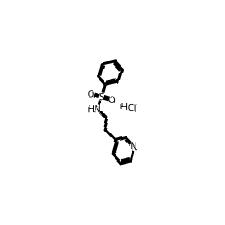 Cl.O=S(=O)(NCCc1cccnc1)c1ccccc1